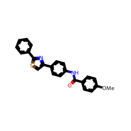 COc1ccc(C(=O)Nc2ccc(-c3csc(-c4ccccc4)n3)cc2)cc1